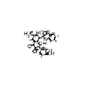 C#C/C=C\C(=N/C)c1oc2c(C(C)Nc3ccccc3C(=O)O)cc(C)cc2c(=O)c1C(F)(F)F